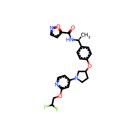 C[C@H](NC(=O)c1ccno1)c1ccc(OC2CCN(c3ccnc(OCC(F)F)c3)C2)cc1